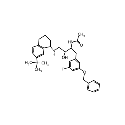 CC(=O)NC(Cc1cc(F)cc(OCc2ccccc2)c1)C(O)CNC1CCCc2ccc(C(C)(C)C)cc21